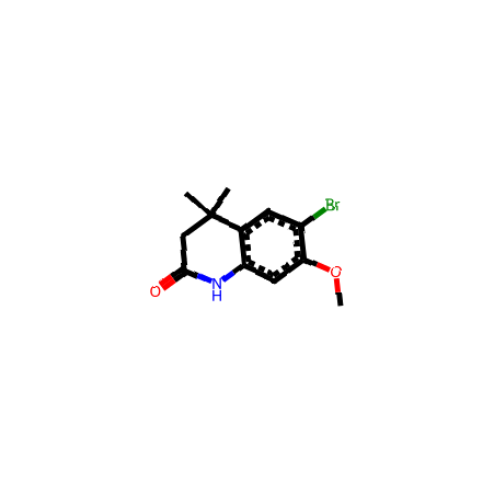 COc1cc2c(cc1Br)C(C)(C)CC(=O)N2